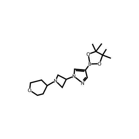 CC1(C)OB(c2cnn(C3CN(C4CCOCC4)C3)c2)OC1(C)C